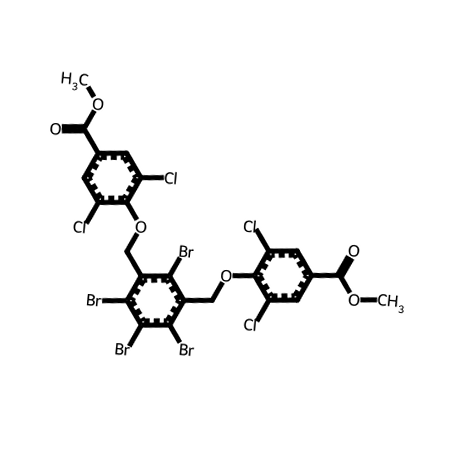 COC(=O)c1cc(Cl)c(OCc2c(Br)c(Br)c(Br)c(COc3c(Cl)cc(C(=O)OC)cc3Cl)c2Br)c(Cl)c1